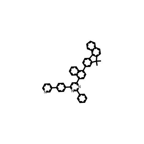 CC1(C)c2cc(-c3ccc(-c4cc(-c5ccc(-c6cccnc6)cc5)nc(-c5ccccc5)n4)c4ccccc34)ccc2-c2c1ccc1ccccc21